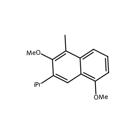 COc1c(C(C)C)cc2c(OC)cccc2c1C